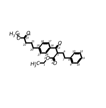 CCOC(=O)C(CCc1ccccc1)C(=O)c1ccc(CCCC(=O)OC)cc1